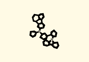 C1=Cc2cccc3c2C(C1)c1cc(N(c2ccccc2)c2cccc(-c4ccccc4-n4c5ccccc5c5ccccc54)c2)ccc1-3